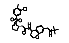 Cc1ccc(S(=O)(=O)N2CCC[C@H]2CC(=O)N[C@@H]2CCOc3cc(CNC(C)(C)C)ccc32)cc1Cl